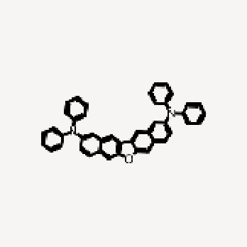 c1ccc(N(c2ccccc2)c2ccc3cc4oc5cc6ccc(N(c7ccccc7)c7ccccc7)cc6cc5c4cc3c2)cc1